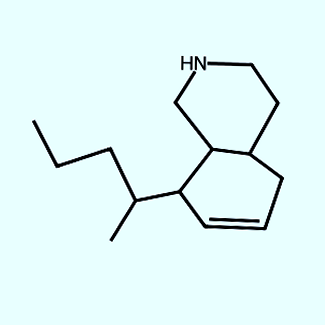 CCCC(C)C1C=CCC2CCNCC21